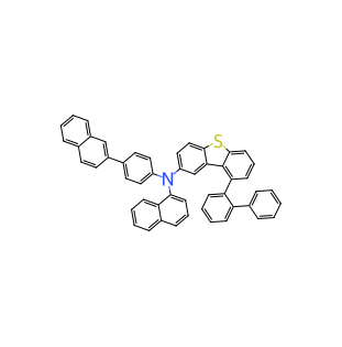 c1ccc(-c2ccccc2-c2cccc3sc4ccc(N(c5ccc(-c6ccc7ccccc7c6)cc5)c5cccc6ccccc56)cc4c23)cc1